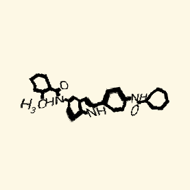 CC1CCCCC1C(=O)Nc1ccc2[nH]c(-c3ccc(NC(=O)C4CCCCCC4)cc3)cc2c1